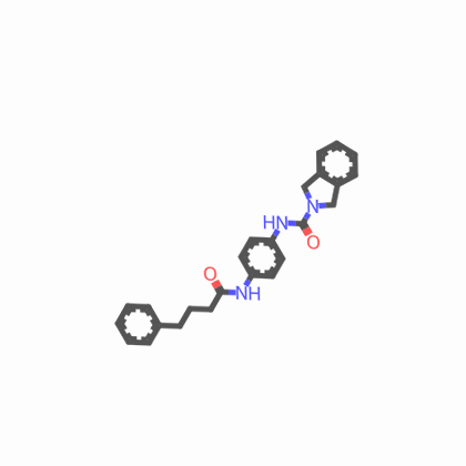 O=C(CCCc1ccccc1)Nc1ccc(NC(=O)N2Cc3ccccc3C2)cc1